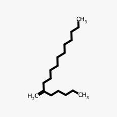 C=C(CCCCC)CCCCCCCCCCC